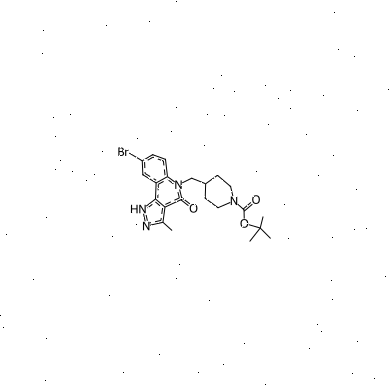 Cc1n[nH]c2c1c(=O)n(CC1CCN(C(=O)OC(C)(C)C)CC1)c1ccc(Br)cc21